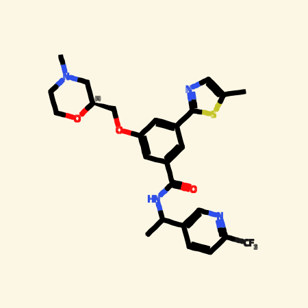 Cc1cnc(-c2cc(OC[C@@H]3CN(C)CCO3)cc(C(=O)NC(C)c3ccc(C(F)(F)F)nc3)c2)s1